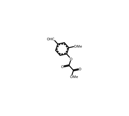 COC(=O)C(=O)Oc1ccc(C=O)cc1OC